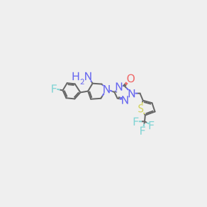 NC1CN(c2cnn(Cc3ccc(C(F)(F)F)s3)c(=O)n2)CC=C1c1ccc(F)cc1